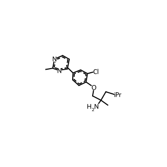 Cc1nccc(-c2ccc(OCC(C)(N)CC(C)C)c(Cl)c2)n1